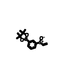 C=C[S+]([O-])c1cccc(B2OC(C)(C)C(C)(C)O2)c1